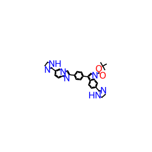 CC(C)(C)OC(=O)n1cc(-c2ccc(-c3cn4cc(C5=NCCN5)ccc4n3)cc2)c2ccc(C3=NCCN3)cc21